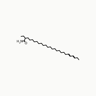 CC/C=C/C=C/CCCCCCCCCCCCCCCCCCC(CC)C(N)=O